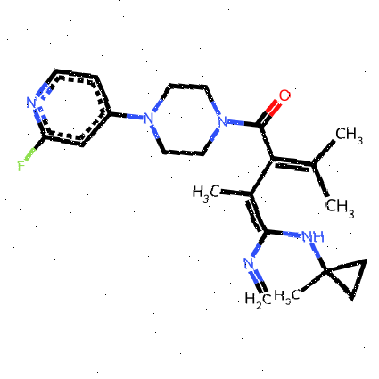 C=N/C(NC1(C)CC1)=C(\C)C(C(=O)N1CCN(c2ccnc(F)c2)CC1)=C(C)C